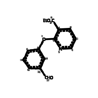 CCOC(=O)c1cccnc1Oc1cccc(C=O)c1